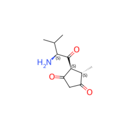 CC(C)[C@H](N)C(=O)[C@@H]1C(=O)CC(=O)[C@H]1C